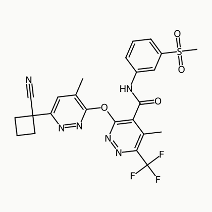 Cc1cc(C2(C#N)CCC2)nnc1Oc1nnc(C(F)(F)F)c(C)c1C(=O)Nc1cccc(S(C)(=O)=O)c1